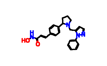 O=C(C=Cc1ccc(C2CCCN2Cc2ccnn2-c2ccccc2)cc1)NO